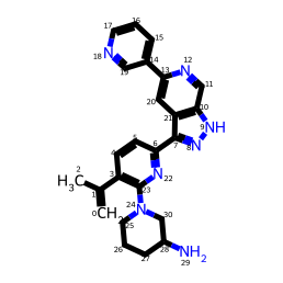 C=C(C)c1ccc(-c2n[nH]c3cnc(-c4cccnc4)cc23)nc1N1CCCC(N)C1